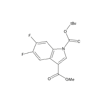 COC(=O)c1cn(C(=O)OC(C)(C)C)c2cc(F)c(F)cc12